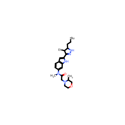 CCC1C(c2cc3ccc(N(C)C(=O)CN4CCOCC4C)cc3[nH]2)=NNC1CCC(C)(C)C